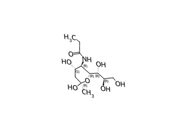 CCC(=O)N[C@H]1[C@H]([C@H](O)[C@H](O)CO)O[C@@](C)(O)C[C@@H]1O